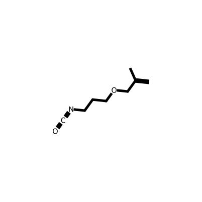 C=C(C)COCCCN=C=O